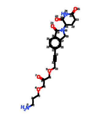 NCCCOCC(=O)COCC#Cc1ccc2c(c1)CN(C1CCC(=O)NC1=O)C2=O